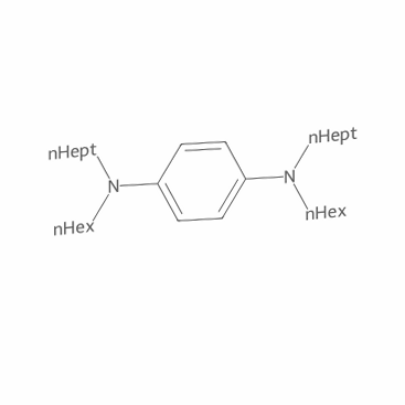 CCCCCCCN(CCCCCC)c1ccc(N(CCCCCC)CCCCCCC)cc1